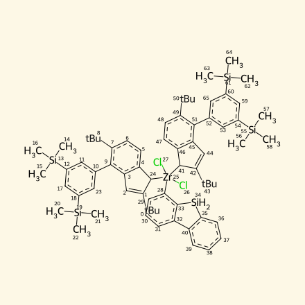 CC(C)(C)C1=Cc2c(ccc(C(C)(C)C)c2-c2cc([Si](C)(C)C)cc([Si](C)(C)C)c2)[CH]1[Zr]([Cl])([Cl])([c]1cccc2c1[SiH2]c1ccccc1-2)[CH]1C(C(C)(C)C)=Cc2c1ccc(C(C)(C)C)c2-c1cc([Si](C)(C)C)cc([Si](C)(C)C)c1